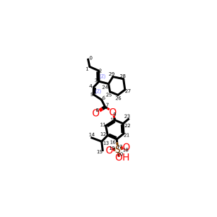 CC/C=C(\C=C/CC(=O)Oc1cc(C(C)C)c(S(=O)(=O)O)cc1C)C1CCCCC1